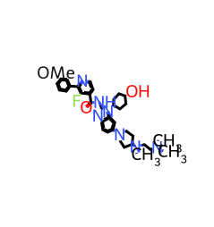 COc1ccccc1-c1nccc(C(=O)Nc2nc3ccc(N4CCC(N(C)CCN(C)C)CC4)cc3n2[C@H]2CC[C@@H](O)CC2)c1F